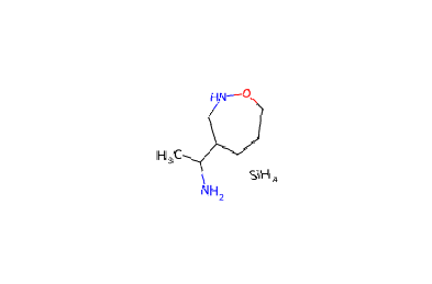 CC(N)C1CCCONC1.[SiH4]